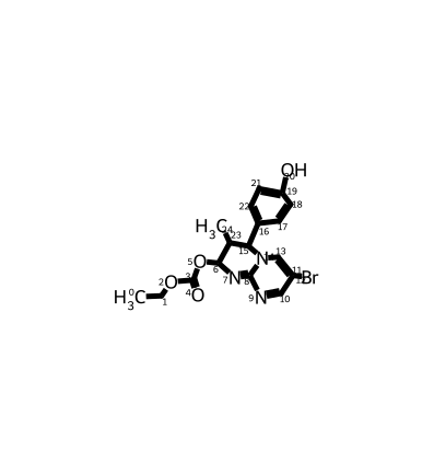 CCOC(=O)OC1N=C2N=CC(Br)=CN2C(c2ccc(O)cc2)C1C